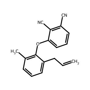 C=CCc1cccc(C)c1Oc1cccc(C#N)c1C#N